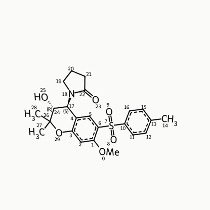 COc1cc2c(cc1S(=O)(=O)c1ccc(C)cc1)[C@H](N1CCCC1=O)[C@@H](O)C(C)(C)O2